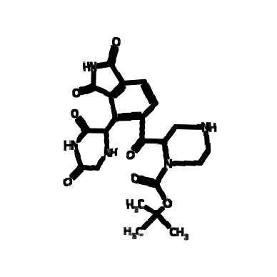 CC(C)(C)OC(=O)N1CCNCC1C(=O)c1ccc2c(c1C1NCC(=O)NC1=O)C(=O)NC2=O